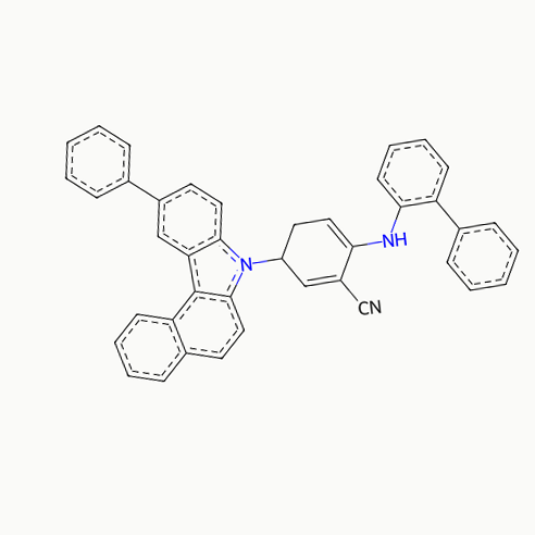 N#CC1=CC(n2c3ccc(-c4ccccc4)cc3c3c4ccccc4ccc32)CC=C1Nc1ccccc1-c1ccccc1